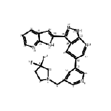 FC1(F)CCN(Cc2cncc(-c3cnc4[nH]nc(-c5cc6cccnc6[nH]5)c4c3)c2)C1